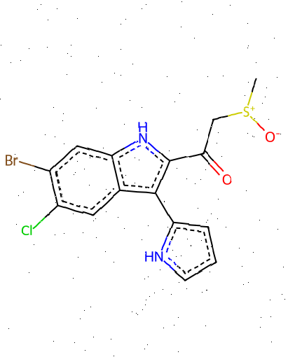 C[S+]([O-])CC(=O)c1[nH]c2cc(Br)c(Cl)cc2c1-c1ccc[nH]1